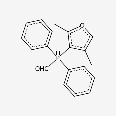 Cc1coc(C)c1[PH](C=O)(c1ccccc1)c1ccccc1